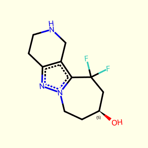 O[C@H]1CCn2nc3c(c2C(F)(F)C1)CNCC3